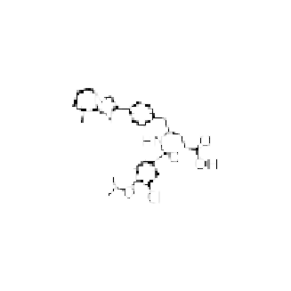 Cc1cccn2cc(-c3ccc(CC(CCC(=O)O)NC(=O)c4ccc(OC(C)C)c(Cl)c4)cc3)nc12